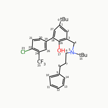 CC(C)(C)c1cc(CN(CCCc2ccccc2)C(C)(C)C)c(O)c(-c2ccc(Cl)c(C(F)(F)F)c2)c1